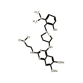 CCCc1cccc(N(C)C)c1CN1CCC(Nc2nc(NCCN(CC)CC)nc3cc(OC)c(OC)cc23)CC1